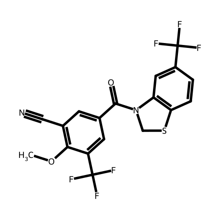 COc1c(C#N)cc(C(=O)N2CSc3ccc(C(F)(F)F)cc32)cc1C(F)(F)F